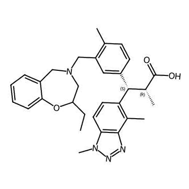 CCC1CN(Cc2cc([C@@H](c3ccc4c(nnn4C)c3C)[C@@H](C)C(=O)O)ccc2C)Cc2ccccc2O1